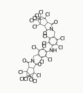 O=C1C2C(C(=O)N1Cc1c(Cl)c(Cl)c(Nc3c(Cl)c(Cl)c(CN4C(=O)C5C(C4=O)C4(Cl)C(Cl)=C(Cl)C5(Cl)C4(Cl)Cl)c(Cl)c3Cl)c(Cl)c1Cl)C1(Cl)C(Cl)=C(Cl)C2(Cl)C1(Cl)Cl